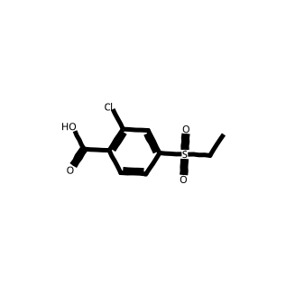 CCS(=O)(=O)c1ccc(C(=O)O)c(Cl)c1